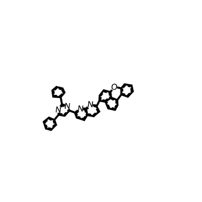 c1ccc(-c2cc(-c3ccc4ccc(-c5ccc6c7c(cccc57)-c5ccccc5O6)nc4n3)nc(-c3ccccc3)n2)cc1